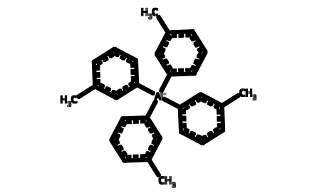 Cc1ccc[c]([Al-]([c]2cccc(C)c2)([c]2cccc(C)c2)[c]2cccc(C)c2)c1